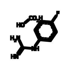 N=C(N)Nc1ccc(F)cc1.O=C(O)O